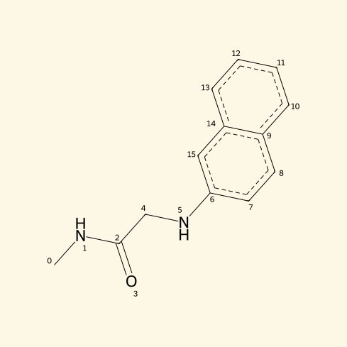 CNC(=O)CNc1ccc2ccccc2c1